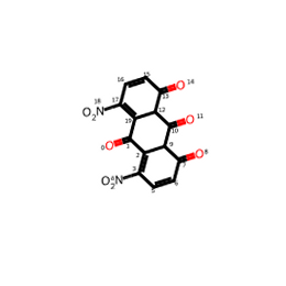 O=C1C2=C([N+](=O)[O-])C=CC(=O)C2C(=O)C2C(=O)C=CC([N+](=O)[O-])=C12